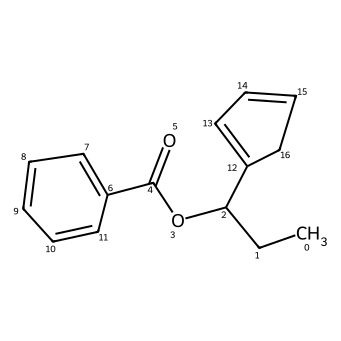 CCC(OC(=O)c1ccccc1)C1=CC=CC1